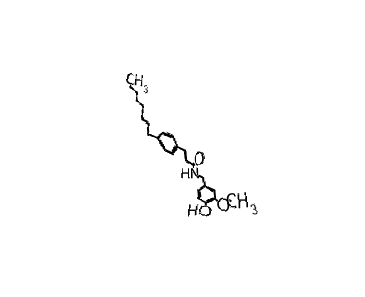 CCCCCCCCc1ccc(C=CC(=O)NCc2ccc(O)c(OC)c2)cc1